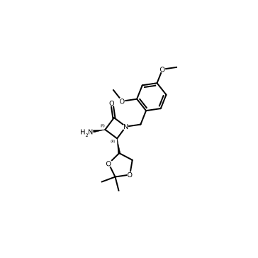 COc1ccc(CN2C(=O)[C@H](N)[C@@H]2C2COC(C)(C)O2)c(OC)c1